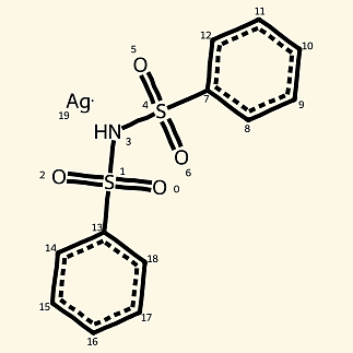 O=S(=O)(NS(=O)(=O)c1ccccc1)c1ccccc1.[Ag]